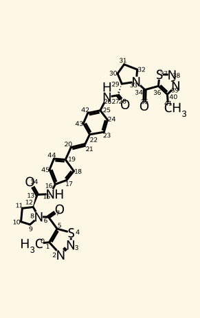 Cc1nnsc1C(=O)N1CCC[C@H]1C(=O)Nc1ccc(/C=C/c2ccc(NC(=O)[C@@H]3CCCN3C(=O)c3snnc3C)cc2)cc1